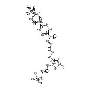 CC1=CN(CCO/C=C/C(=O)N2CCN(c3ncc(C(F)(F)F)cn3)CC2)C(COCC[Si](C)(C)C)C1